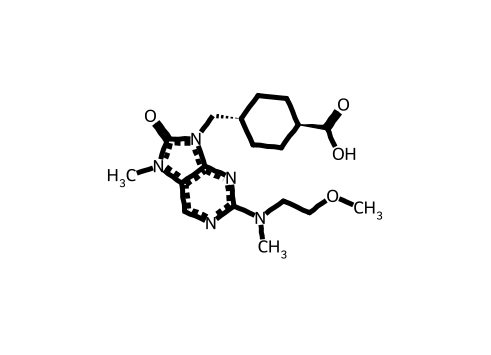 COCCN(C)c1ncc2c(n1)n(C[C@H]1CC[C@H](C(=O)O)CC1)c(=O)n2C